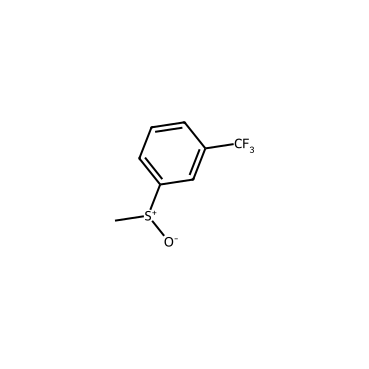 C[S+]([O-])c1cccc(C(F)(F)F)c1